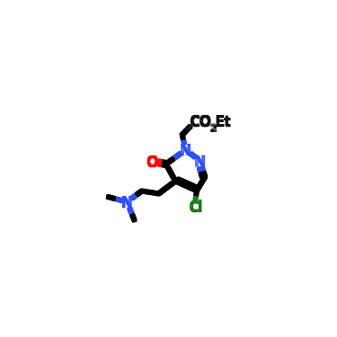 CCOC(=O)Cn1ncc(Cl)c(CCN(C)C)c1=O